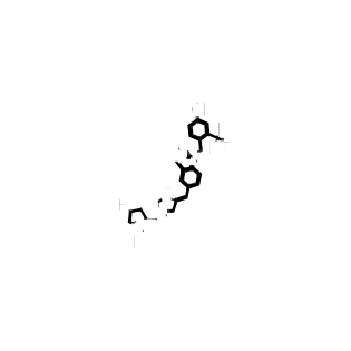 F[C@H]1CN[C@H](CN2CSC(=Cc3ccc4c(cnn4Cc4ccc(Cl)cc4C(F)(F)F)c3)C2)C1